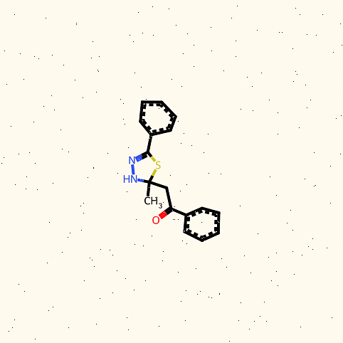 CC1(CC(=O)c2ccccc2)NN=C(c2ccccc2)S1